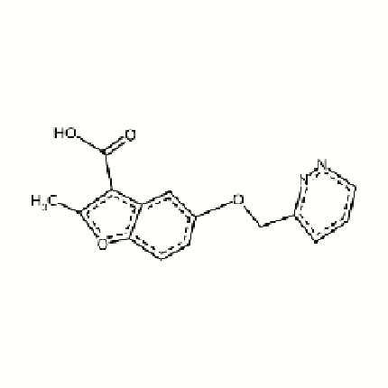 Cc1oc2ccc(OCc3cccnn3)cc2c1C(=O)O